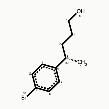 C[C@@H](CCCO)c1ccc(Br)cc1